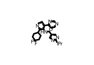 CC(C)c1ncc(C(=O)Nc2c(-c3ccncn3)ccnc2C2CCC(F)(F)CC2)cn1